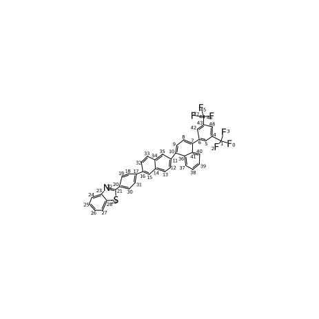 FC(F)(F)c1cc(-c2ccc(-c3ccc4cc(-c5ccc(-c6nc7ccccc7s6)cc5)ccc4c3)c3ccccc23)cc(C(F)(F)F)c1